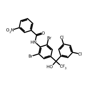 O=C(Nc1c(Br)cc(C(O)(c2cc(Cl)cc(Cl)c2)C(F)(F)F)cc1Br)c1cccc([N+](=O)[O-])c1